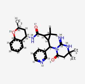 CCC1(CC)CC(=O)N(C(c2cccnc2)C2C(C(=O)N[C@H]3C[C@H](C(F)(F)F)Oc4ccccc43)C2(C)C)C(=N)N1